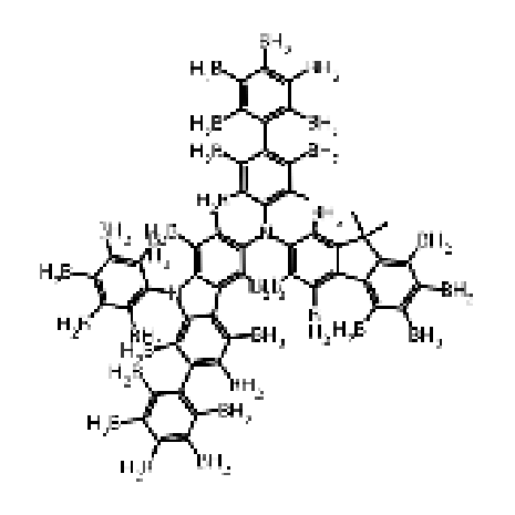 Bc1c(B)c(B)c(-c2c(B)c(B)c(N(c3c(B)c(B)c4c(c3B)C(C)(C)c3c(B)c(B)c(B)c(B)c3-4)c3c(C)c(B)c4c(c3B)c3c(B)c(B)c(-c5c(B)c(B)c(B)c(B)c5B)c(B)c3n4-c3c(B)c(B)c(B)c(B)c3B)c(C)c2B)c(B)c1B